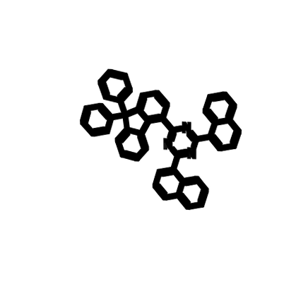 c1ccc(C2(c3ccccc3)c3ccccc3-c3c(-c4nc(-c5cccc6ccccc56)nc(-c5cccc6ccccc56)n4)cccc32)cc1